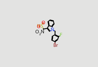 O=[N+]([O-])C(c1cn(Cc2ccc(Br)cc2F)c2ccccc12)[SH](=O)=O